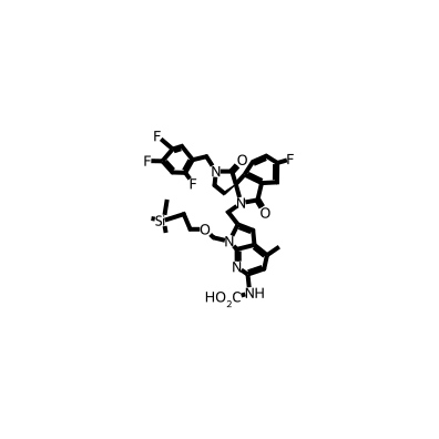 Cc1cc(NC(=O)O)nc2c1cc(CN1C(=O)c3cc(F)ccc3[C@]13CCN(Cc1cc(F)c(F)cc1F)C3=O)n2COCC[Si](C)(C)C